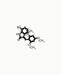 COc1cc(OC)c(C=C2C(=O)Nc3c(Br)cccc32)c(OC)c1